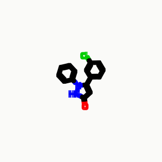 O=c1cc(-c2cccc(Cl)c2)n(-c2ccccc2)[nH]1